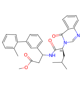 COC(=O)CC(NC(=O)[C@H](CC(C)C)n1cnc2ccccc2c1=O)c1cccc(-c2ccccc2C)c1